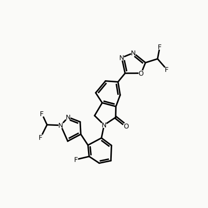 O=C1c2cc(-c3nnc(C(F)F)o3)ccc2CN1c1cccc(F)c1-c1cnn(C(F)F)c1